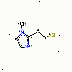 Cn1ccnc1CCS